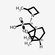 CC1CCN1[C@H]([C@@]12CC[C@H](CC1=O)C2(C)C)S(=O)(=O)O